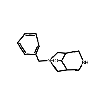 OC1C2CBCC1CN(Cc1ccccc1)C2